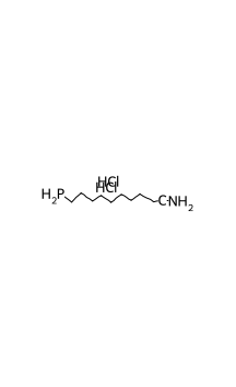 Cl.Cl.NCCCCCCCCCCP